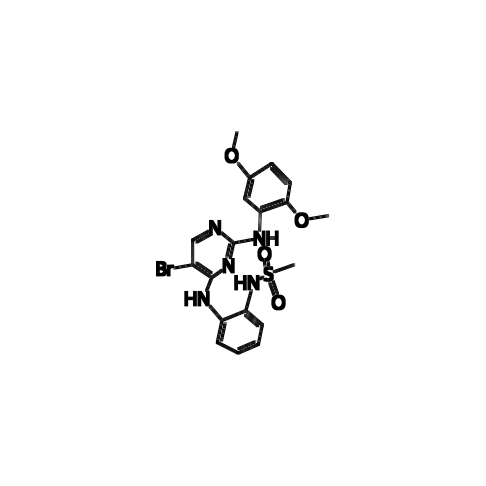 COc1ccc(OC)c(Nc2ncc(Br)c(Nc3ccccc3NS(C)(=O)=O)n2)c1